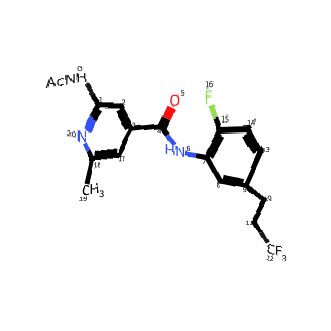 CC(=O)Nc1cc(C(=O)Nc2cc(CCC(F)(F)F)ccc2F)cc(C)n1